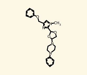 Cn1cc(COc2ccccc2)nc1C1OCC(N2CCN(c3ccccc3)CC2)O1